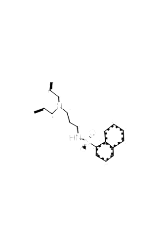 C=CCN(CC=C)CCCNS(=O)(=O)c1cccc2ccccc12